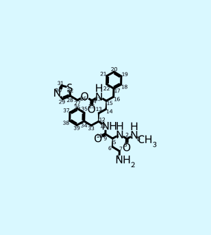 CNC(=O)N[C@@H](CCN)C(=O)N[C@H](CC[C@H](Cc1ccccc1)NC(=O)OCc1cncs1)Cc1ccccc1